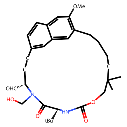 COc1cc2ccc3cc2cc1CCCCC(C)(C)COC(=O)N[C@@H](C(C)(C)C)C(=O)N(CO)[C@H](C=O)CC3